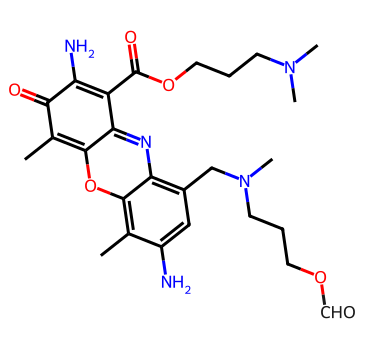 Cc1c2oc3c(C)c(N)cc(CN(C)CCCOC=O)c3nc-2c(C(=O)OCCCN(C)C)c(N)c1=O